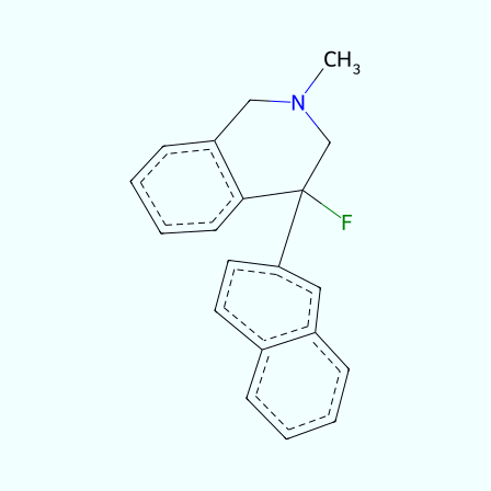 CN1Cc2ccccc2C(F)(c2ccc3ccccc3c2)C1